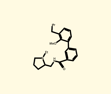 CCN1CCCC1CNC(=O)c1cccc(-c2cccc(CC(C)C)c2OC)c1